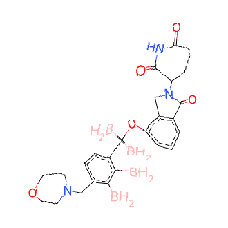 Bc1c(CN2CCOCC2)ccc(C(B)(B)Oc2cccc3c2CN(C2CCC(=O)NC2=O)C3=O)c1B